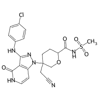 CS(=O)(=O)NC(=O)C1CCC(CC#N)(n2nc(Nc3ccc(Cl)cc3)c3c(=O)[nH]ccc32)CO1